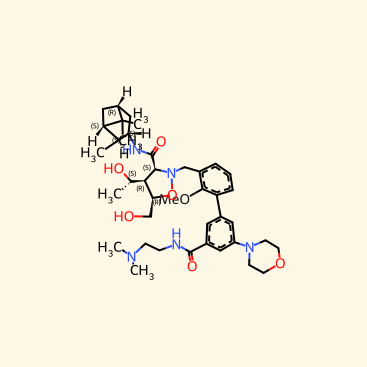 COc1c(CN2O[C@@H](CO)[C@@H]([C@H](C)O)[C@H]2C(=O)N[C@H]2C[C@H]3C[C@@H]([C@@H]2C)C3(C)C)cccc1-c1cc(C(=O)NCCN(C)C)cc(N2CCOCC2)c1